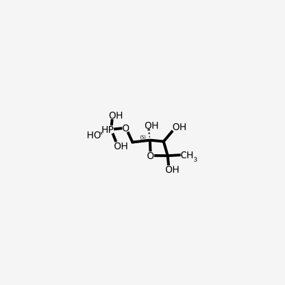 CC1(O)O[C@@](O)(CO[PH](O)(O)O)C1O